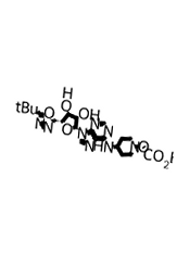 CCOC(=O)ON1CCC(Nc2ncnc3c2ncn3[C@@H]2O[C@H](c3nnc(C(C)(C)C)o3)[C@@H](O)[C@H]2O)CC1